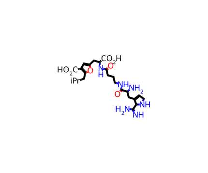 CC(C)Cc1oc(CC(NC(=O)CCCNC(=O)C(N)CC2=CCNC2C(=N)N)C(=O)O)cc1C(=O)O